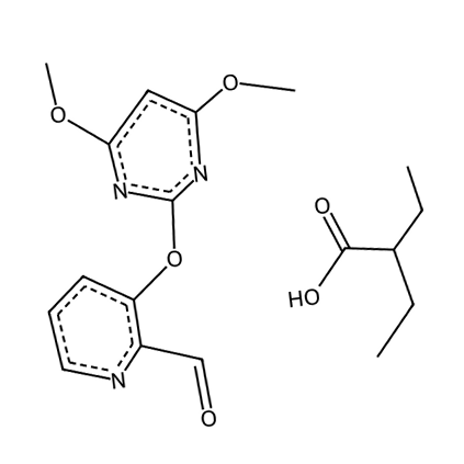 CCC(CC)C(=O)O.COc1cc(OC)nc(Oc2cccnc2C=O)n1